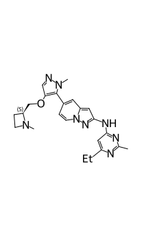 CCc1cc(Nc2cc3cc(-c4c(OC[C@@H]5CCN5C)cnn4C)ccn3n2)nc(C)n1